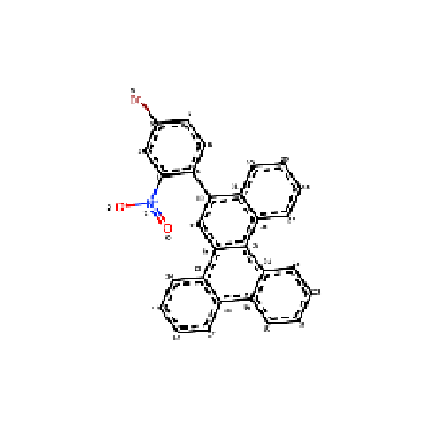 O=[N+]([O-])c1cc(Br)ccc1-c1cc2c3ccccc3c3ccccc3c2c2ccccc12